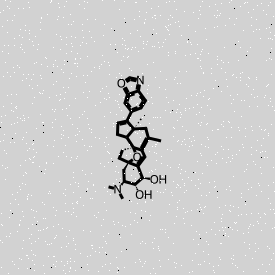 CC1=C2C=C3[C@@H](O)[C@H](O)[C@@H](N(C)C)C[C@]34CC[C@]2(O4)C2CC=C(c3ccc4ncoc4c3)[C@@]2(C)C1